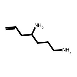 C=CCC(N)CCCN